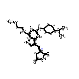 COCCNc1nc(NC2CCC(N(C)C)CC2)nc2c(/C=C3\CC(=O)NC3=O)cnn12